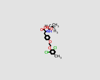 Cc1cc(Cl)c(OCCOc2ccc(CC(NC(=O)OC(C)(C)C)C(=O)O)cc2)c(Cl)c1